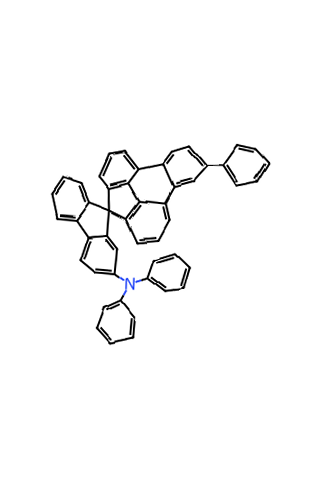 c1ccc(-c2ccc3c(c2)c2cccc4c2c2c(cccc32)C42c3ccccc3-c3ccc(N(c4ccccc4)c4ccccc4)cc32)cc1